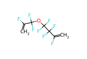 C=C(F)C(F)(F)OC(F)(F)C(F)(F)C(=C)F